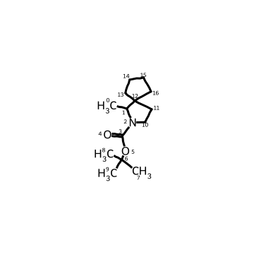 CC1N(C(=O)OC(C)(C)C)CCC12CCCC2